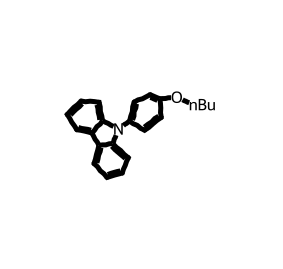 CCCCOc1ccc(-n2c3ccccc3c3ccccc32)cc1